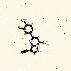 C#Cc1cnn2c(C(F)(F)F)cc(-c3ccc(Cl)c(C)c3)nc12